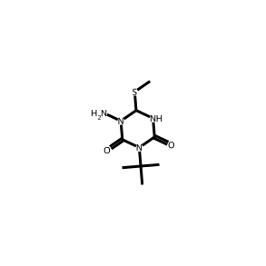 CSC1NC(=O)N(C(C)(C)C)C(=O)N1N